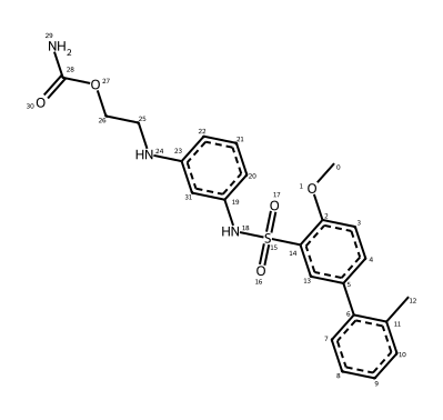 COc1ccc(-c2ccccc2C)cc1S(=O)(=O)Nc1cccc(NCCOC(N)=O)c1